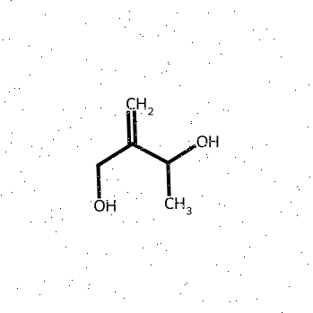 C=C(CO)C(C)O